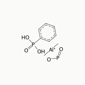 O=P(O)(O)c1ccccc1.O=P[O-].[CH3][Al+][CH3]